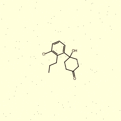 CCCc1c(Cl)cccc1C1(O)CCC(=O)CC1